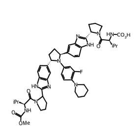 COC(=O)N[C@H](C(=O)N1CCCC1c1nc2cc([C@@H]3CC[C@@H](c4ccc5[nH]c([C@@H]6CCCN6C(=O)[C@@H](NC(=O)O)C(C)C)nc5c4)N3c3ccc(N4CCCCC4)c(F)c3)ccc2[nH]1)C(C)C